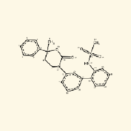 CC1(c2ccccc2)CCN(c2cccc(-c3ccccc3NS(C)(=O)=O)c2)C(=O)O1